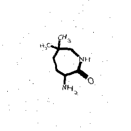 CC1(C)CCC(N)C(=O)NC1